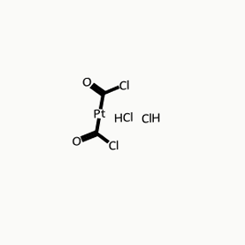 Cl.Cl.O=[C](Cl)[Pt][C](=O)Cl